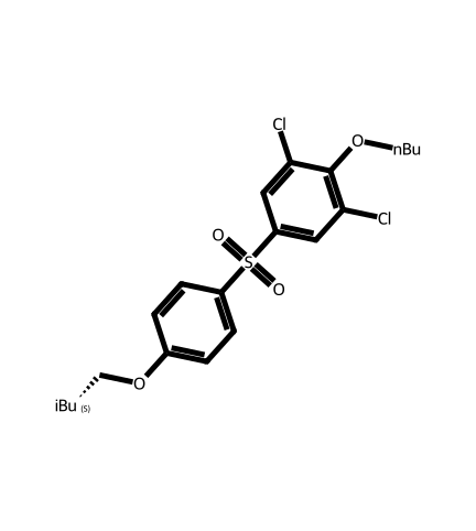 CCCCOc1c(Cl)cc(S(=O)(=O)c2ccc(OC[C@@H](C)CC)cc2)cc1Cl